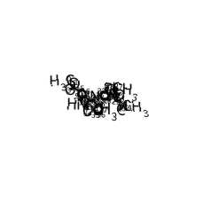 COC(=O)c1ccc2c(c1)NC(=O)C2=C(Nc1ccc(N(CCN(C)C)S(C)(=O)=O)c(Cl)c1)c1ccccc1